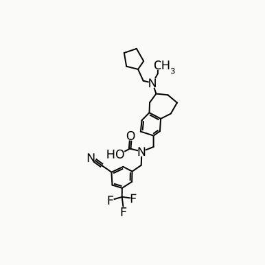 CCN(CC1CCCC1)C1CCCc2cc(CN(Cc3cc(C#N)cc(C(F)(F)F)c3)C(=O)O)ccc2C1